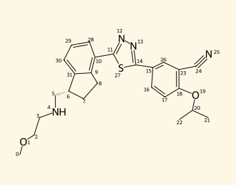 COCCNC[C@H]1CCc2c(-c3nnc(-c4ccc(OC(C)C)c(C#N)c4)s3)cccc21